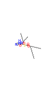 CCCCCCCCCCCCC(CCCCCCCCCC)COC(=O)CCSCCC(NC(=O)C(CCCCCC)CCCCCCCC)C(=O)NC1CCN(C)CC1